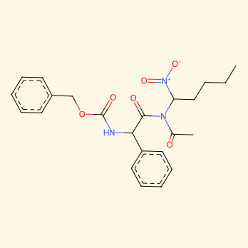 CCCCC(N(C(C)=O)C(=O)C(NC(=O)OCc1ccccc1)c1ccccc1)[N+](=O)[O-]